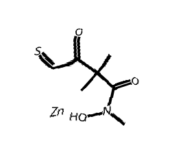 CN(O)C(=O)C(C)(C)C(=O)C=S.[Zn]